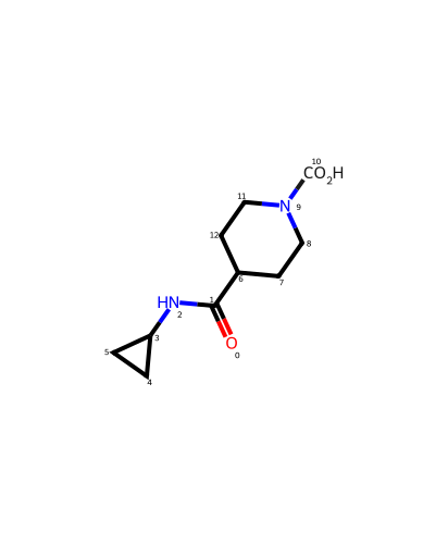 O=C(NC1CC1)C1CCN(C(=O)O)CC1